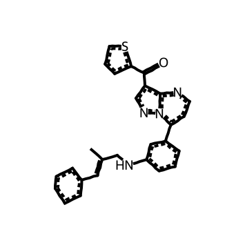 C/C(=C\c1ccccc1)CNc1cccc(-c2ccnc3c(C(=O)c4cccs4)cnn23)c1